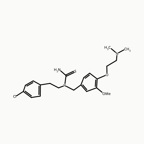 COc1cc(CN(CCc2ccc(Cl)cc2)C(N)=S)ccc1OCCN(C)C